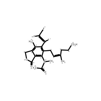 CC(=CCc1c(C(F)=C(F)F)c(C)c2c(c1N(C)C(=O)C(F)(F)F)C(=O)OC2)CCC(=O)O